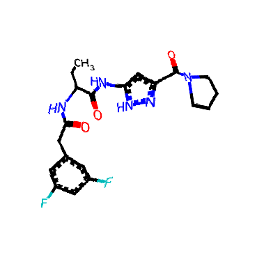 CCC(NC(=O)Cc1cc(F)cc(F)c1)C(=O)Nc1cc(C(=O)N2CCCC2)n[nH]1